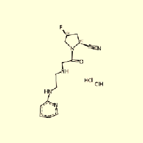 Cl.Cl.N#C[C@@H]1C[C@H](F)CN1C(=O)CNCCNc1ccccn1